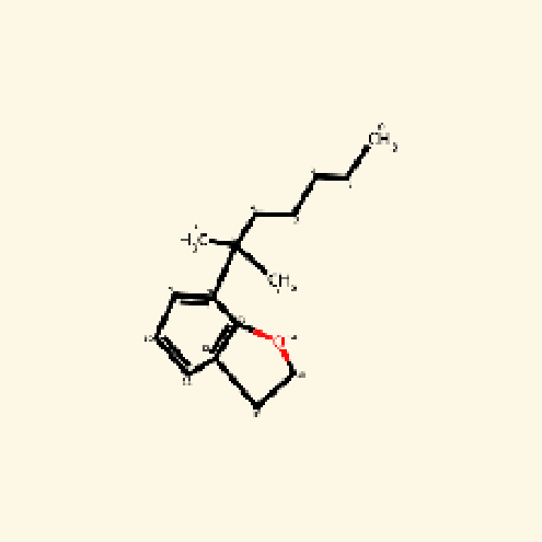 CCCCCC(C)(C)c1cc[c]c2c1OCC2